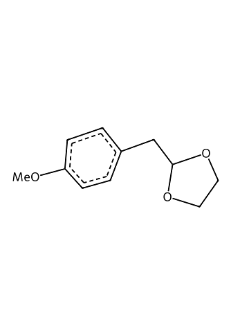 COc1ccc(CC2OCCO2)cc1